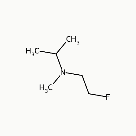 CC(C)N(C)CCF